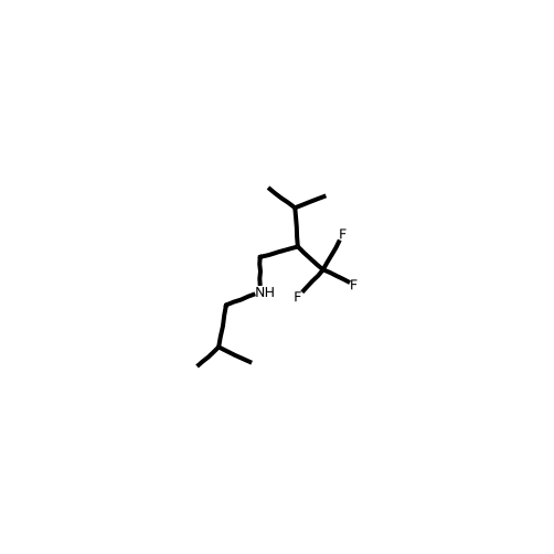 CC(C)CNCC(C(C)C)C(F)(F)F